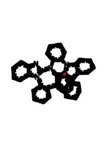 c1ccc(-n2c3nc4ccccc4n3c3ccccc3n3c4ccccc4nc23)c(-n2c3ccccc3c3ccccc32)c1